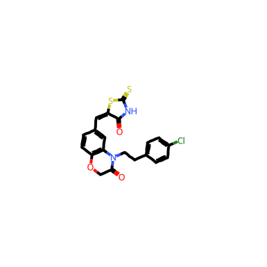 O=C1NC(=S)SC1=Cc1ccc2c(c1)N(CCc1ccc(Cl)cc1)C(=O)CO2